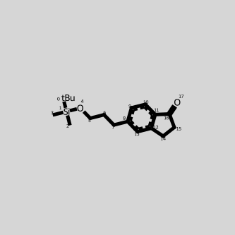 CC(C)(C)[Si](C)(C)OCCCc1ccc2c(c1)CCC2=O